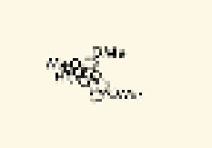 COc1ccc([C@@]23Oc4cc(OC)cc(OC)c4[C@]2(O)C(O)CC3c2ccccc2)cc1